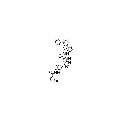 Cc1cc(-c2ncnc3[nH]c(C(=O)NCCCN4[C@@H](c5ncccc5C)CCC[C@H]4c4ncccc4C)cc23)ccc1CNC(=O)c1cccc(F)c1